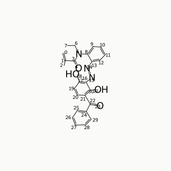 C=C(C)C(=O)N(CC)c1ccccc1N=Nc1c(O)ccc(C(=O)c2ccccc2)c1O